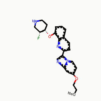 COCCOc1ccn2c(-c3ccc4cccc(O[C@H]5CCNC[C@H]5F)c4n3)cnc2c1